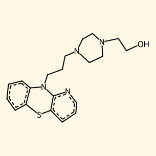 OCCN1CCN(CCCN2c3ccccc3Sc3cccnc32)CC1